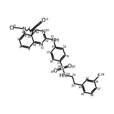 O=C1CCN(Cl)C2=CC=CC3=NC(Nc4ccc(S(=O)(=O)NCCc5cccc(F)c5)cc4)=NCC23C1